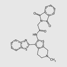 CN1CCc2c(sc(NC(=O)CN3C(=O)c4ccccc4C3=O)c2-c2nc3ccccc3s2)C1